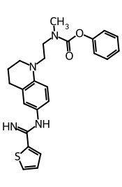 CN(CCN1CCCc2cc(NC(=N)c3cccs3)ccc21)C(=O)Oc1ccccc1